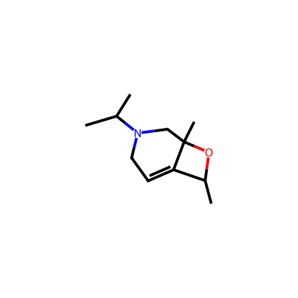 CC1OC2(C)CN(C(C)C)CC=C12